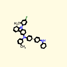 CC1C=CC=C(N(C2=CC[C@@H](C3=CCC(NC4=CCCCC4)C=C3)C=C2)C2=Cc3c4c(n(C5C=CC(F)=CC5C)c3CC2)CCC=C4)C1